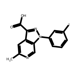 Cc1cc2c(C(=O)O)nn(-c3cccc(I)c3)c2cn1